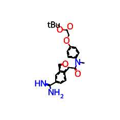 CN(C(=O)c1occ2cc(C(=N)N)ccc12)c1ccc(OCC(=O)OC(C)(C)C)cc1